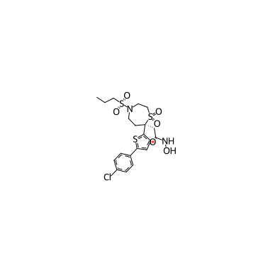 CCCS(=O)(=O)N1CC[C@](CC(=O)NO)(c2ccc(-c3ccc(Cl)cc3)s2)S(=O)(=O)CC1